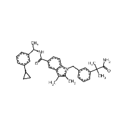 Cc1c(C)n(Cc2cccc(C(C)(C)C(N)=O)c2)c2ccc(C(=O)NC(C)c3cccc(C4CC4)c3)cc12